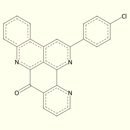 O=C1c2cccnc2-c2nc(-c3ccc(Cl)cc3)cc3c2c1nc1ccccc13